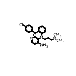 CN(C)CCCN(c1cnccc1N)c1ccccc1C(=O)c1ccc(Cl)cc1